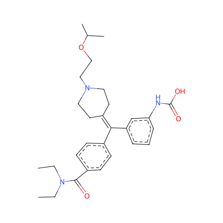 CCN(CC)C(=O)c1ccc(C(=C2CCN(CCOC(C)C)CC2)c2cccc(NC(=O)O)c2)cc1